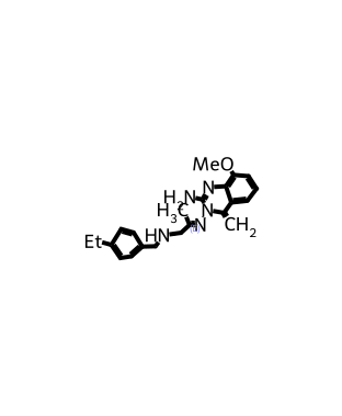 C=C1c2cccc(OC)c2N=C(N)N1/N=C(\C)CNCc1ccc(CC)cc1